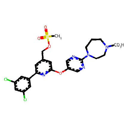 CS(=O)(=O)OCc1cc(Oc2cnc(N3CCCN(C(=O)O)CC3)nc2)nc(-c2cc(Cl)cc(Cl)c2)c1